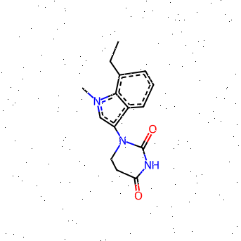 CCc1cccc2c(N3CCC(=O)NC3=O)cn(C)c12